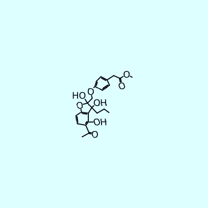 CCCC1(O)c2c(ccc(C(C)=O)c2O)OC1(O)COc1ccc(CC(=O)OC)cc1